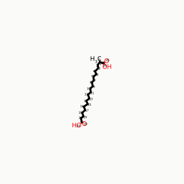 CC(CCCCCCCCCCCCCCCCCCCC(=O)O)C(=O)O